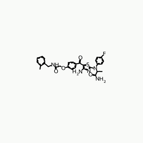 Cc1ccccc1CNC(=O)COc1ccc(C(=O)c2sc(N(c3ccc(F)cc3)C(C)C(N)=O)nc2N)cc1